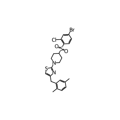 Cc1ccc(C)c(Cc2csc(N3CCC(S(=O)(=O)c4ccc(Br)cc4Cl)CC3)n2)c1